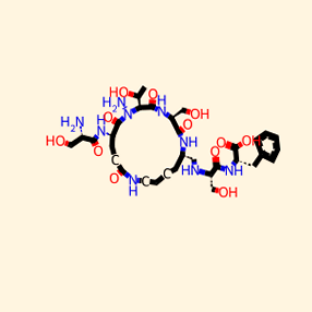 CC(O)[C@H]1C(=O)N[C@@H](CO)C(=O)N[C@H](CN[C@@H](CO)C(=O)N[C@@H](Cc2ccccc2)C(=O)O)CCCCNC(=O)CC[C@H](NC(=O)[C@@H](N)CO)C(=O)N1N